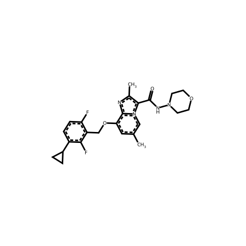 Cc1cc(OCc2c(F)ccc(C3CC3)c2F)c2nc(C)c(C(=O)NN3CCOCC3)n2c1